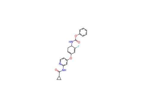 O=C(NC1CC=C(Oc2ccnc(NC(=O)C3CC3)c2)C=C1F)Oc1ccccc1